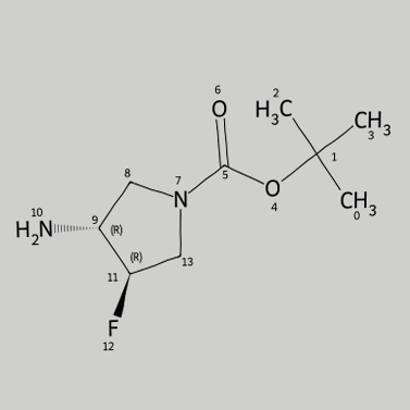 CC(C)(C)OC(=O)N1C[C@@H](N)[C@H](F)C1